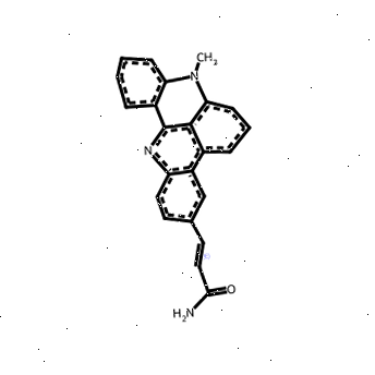 CN1c2ccccc2-c2nc3ccc(/C=C/C(N)=O)cc3c3cccc1c23